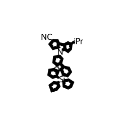 CC(C)c1ccc2c(c1)c1cc(C#N)ccc1n2-c1ccc2oc3c([Si](c4ccccc4)(c4ccccc4)c4ccccc4)cccc3c2c1